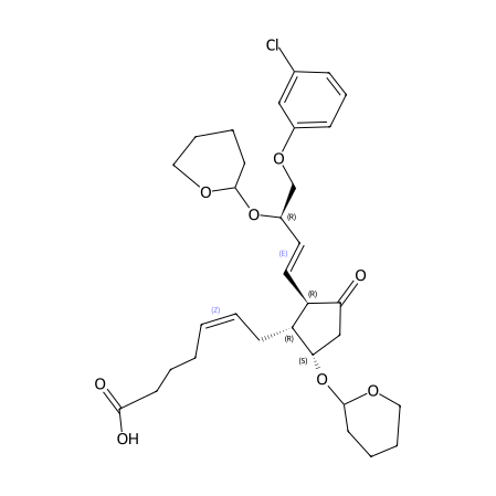 O=C(O)CCC/C=C\C[C@H]1[C@@H](OC2CCCCO2)CC(=O)[C@@H]1/C=C/[C@H](COc1cccc(Cl)c1)OC1CCCCO1